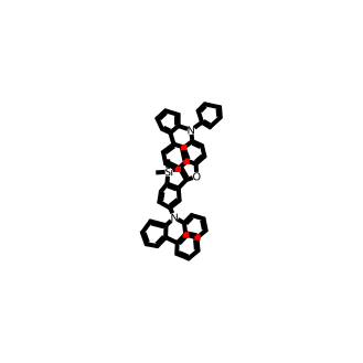 C[Si]1(C)c2ccc(N(c3ccccc3)c3ccccc3-c3ccccc3)cc2-c2oc3ccc(N(c4ccccc4)c4ccccc4-c4ccccc4)cc3c21